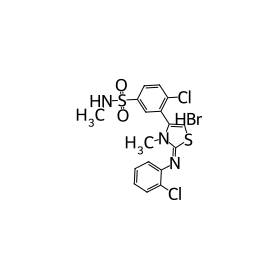 Br.CNS(=O)(=O)c1ccc(Cl)c(-c2csc(=Nc3ccccc3Cl)n2C)c1